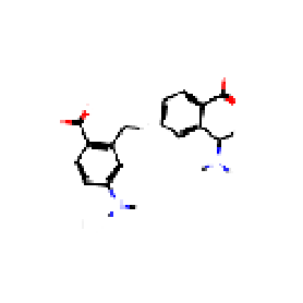 CC(c1ccccc1C(=O)O)N(C)C.CCc1cc(N(C)C)ccc1C(=O)O